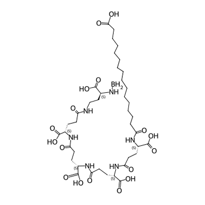 BN[C@@H](CCNC(=O)CC[C@H](NC(=O)CC[C@H](NC(=O)CC[C@H](NC(=O)CC[C@H](NC(=O)CCCCCCCCCCCCCCC(=O)O)C(=O)O)C(=O)O)C(=O)O)C(=O)O)C(=O)O